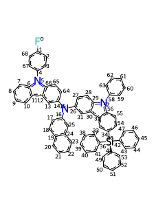 Fc1ccc(-n2c3ccccc3c3cc(N(c4ccc5ccccc5c4)c4ccc5c(c4)c4cc([Si](c6ccccc6)(c6ccccc6)c6ccccc6)ccc4n5-c4ccccc4)ccc32)cc1